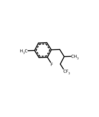 Cc1ccc(CC(C)CC(F)(F)F)c(F)c1